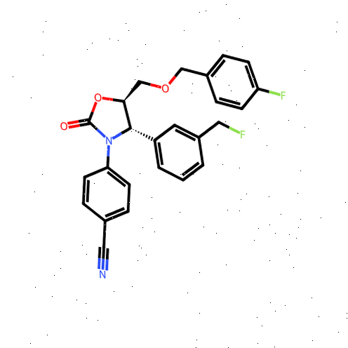 N#Cc1ccc(N2C(=O)O[C@@H](COCc3ccc(F)cc3)[C@@H]2c2cccc(CF)c2)cc1